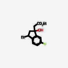 CCOC(=O)CC1(O)CC(CC)c2ccc(F)cc21